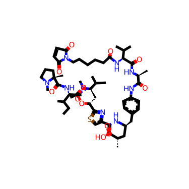 CCC(C)[C@H](NC(=O)[C@@]1(C)CCCN1C)C(=O)N(C)[C@H](C[C@@H](OC(C)=O)c1nc(C(=O)N[C@@H](Cc2ccc(NC(=O)[C@H](C)NC(=O)[C@@H](NC(=O)CCCCCN3C(=O)C=CC3=O)C(C)C)cc2)C[C@H](C)C(=O)O)cs1)C(C)C